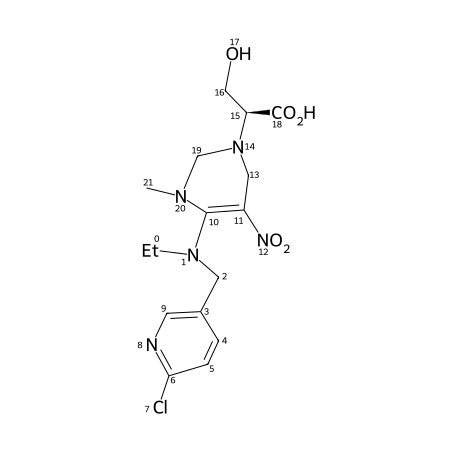 CCN(Cc1ccc(Cl)nc1)C1=C([N+](=O)[O-])CN([C@@H](CO)C(=O)O)CN1C